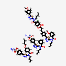 CCCCN(C(=O)c1cccc(OC)c1)c1nnc(-c2ccc(CCC(=O)O)cc2)s1.CCCCN(C(=O)c1ccccc1)c1nnc(-c2ccc(S(N)(=O)=O)cc2)s1.CCCCN(C(=O)c1ccccc1Cl)c1nnc(-c2cc(C)c(OC)c(C)c2)s1.CCCCOc1ccc(C(=O)N(CCCC)c2nnc(-c3ccc(S(N)(=O)=O)cc3)s2)cc1